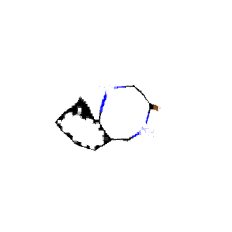 S=C1CNc2ccccc2CN1